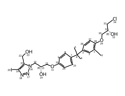 Cc1cc(C(C)(C)c2ccc(OC[C@H](O)Cn3nnc(I)c3CO)cc2)ccc1OC[C@@H](O)CCl